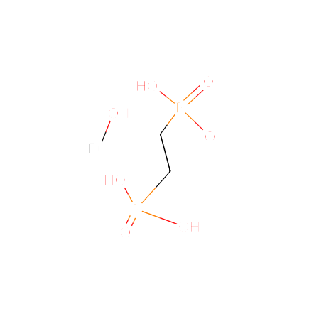 CCO.O=P(O)(O)CCP(=O)(O)O